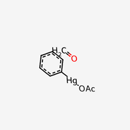 C=O.CC(=O)[O][Hg][c]1ccccc1